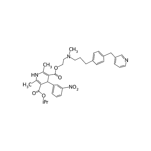 CC1=C(C(=O)OCCN(C)CCCc2ccc(Cc3cccnc3)cc2)C(c2cccc([N+](=O)[O-])c2)C(C(=O)OC(C)C)=C(C)N1